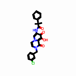 CC(C)(C(=O)Nc1cn2ccn(Cc3cccc(Cl)c3)c(=O)c2c(O)c1=O)c1ccccc1